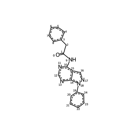 O=C(Cc1ccccc1)Nc1ncnc2c1cnn2-c1ccccc1